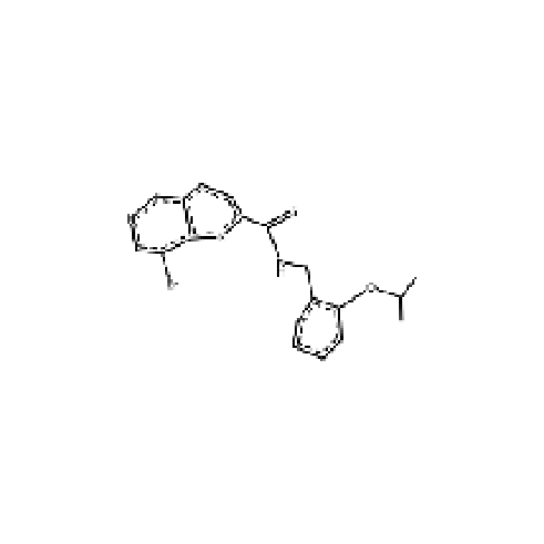 CC(C)Oc1ccccc1CNC(=S)c1ccc2cncc(Br)c2n1